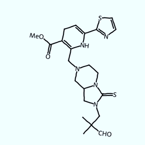 COC(=O)C1=C(CN2CCN3C(=S)N(CC(C)(C)C=O)CC3C2)NC(c2nccs2)=CC1